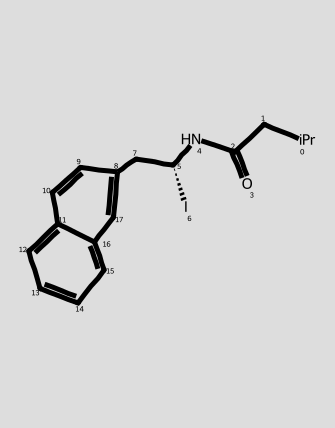 CC(C)CC(=O)N[C@H](I)Cc1ccc2ccccc2c1